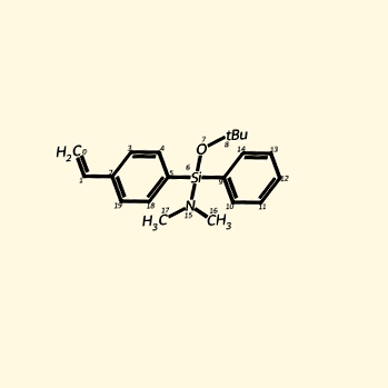 C=Cc1ccc([Si](OC(C)(C)C)(c2ccccc2)N(C)C)cc1